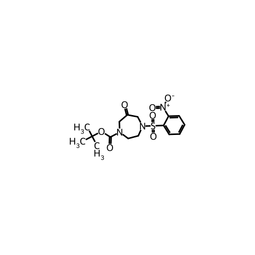 CC(C)(C)OC(=O)N1CCN(S(=O)(=O)c2ccccc2[N+](=O)[O-])CC(=O)C1